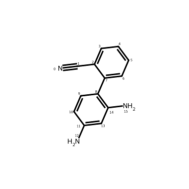 N#Cc1ccccc1-c1ccc(N)cc1N